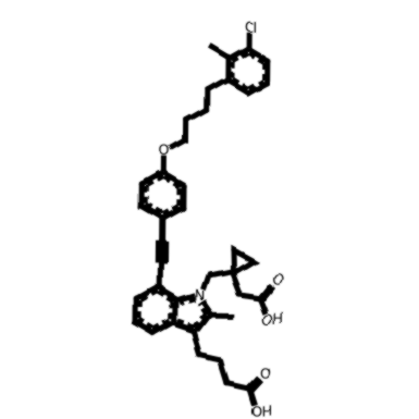 Cc1c(Cl)cccc1CCCCOc1ccc(C#Cc2cccc3c(CCCC(=O)O)c(C)n(CC4(CC(=O)O)CC4)c23)cc1